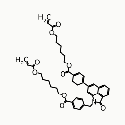 C=CC(=O)OCCCCCCOC(=O)C1=CC=C(c2cc3c4c(cccc4c2)C(=O)N3Cc2ccc(C(=O)OCCCCCCOC(=O)C=C)cc2)CC1